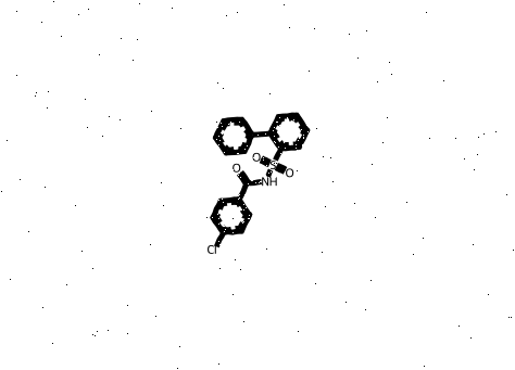 O=C(NS(=O)(=O)c1ccccc1-c1ccccc1)c1ccc(Cl)cc1